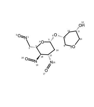 O=NC[C@@H]1O[C@H](O[C@H]2COC[C@@H](O)C2)C[C@H](N=O)[C@H]1N=O